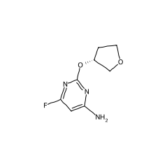 Nc1cc(F)nc(O[C@@H]2CCOC2)n1